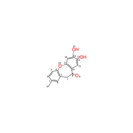 Cc1ccc2c(c1)CC(=O)c1cc(O)c(O)cc1O2